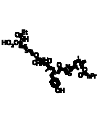 CCCC(=O)OCN(C)[C@@H](C)C[C@@H](C)c1nc(C(=O)C[C@@H](Cc2ccc(O)cc2)C[C@H](C)C(=O)NNC(=O)OCCSSC[C@H](NC(=O)CC)C(=O)O)cs1